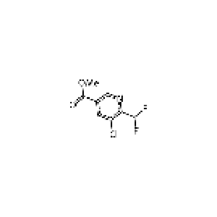 COC(=O)c1cnc(C(F)F)c(Cl)c1